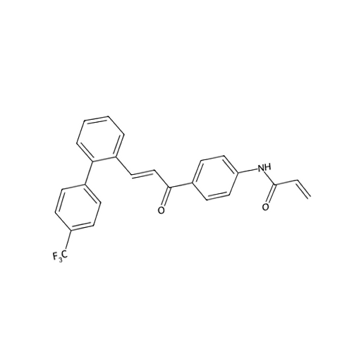 C=CC(=O)Nc1ccc(C(=O)/C=C/c2ccccc2-c2ccc(C(F)(F)F)cc2)cc1